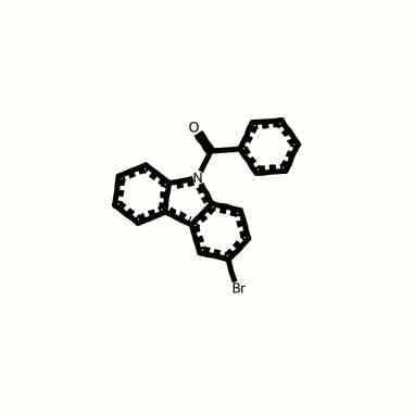 O=C(c1ccccc1)n1c2ccccc2c2cc(Br)ccc21